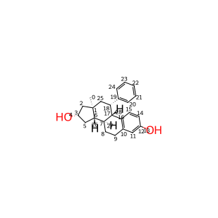 C[C@@]12C[C@@H](O)C[C@H]1[C@@H]1CCc3cc(O)ccc3[C@H]1[C@@H](c1ccccc1)C2